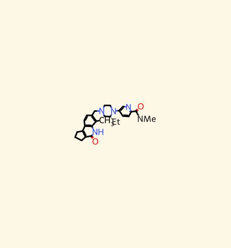 CC[C@@H]1CN(Cc2ccc3c4c(c(=O)[nH]c3c2C)CCC4)CCN1c1ccc(C(=O)NC)nc1